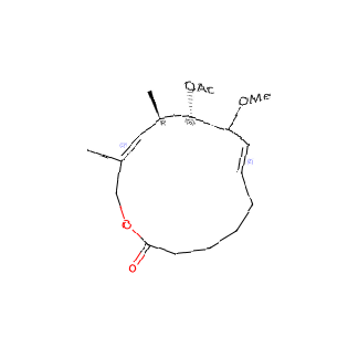 COC1/C=C/CCCCC(=O)OC/C(C)=C\[C@@H](C)[C@@H]1OC(C)=O